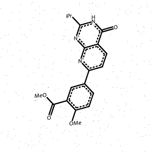 COC(=O)c1cc(-c2ccc3c(=O)[nH]c(C(C)C)nc3n2)ccc1OC